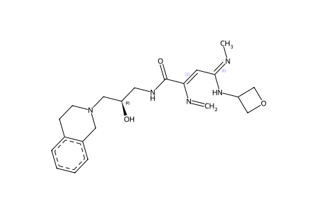 C=N/C(=C\C(=N/C)NC1COC1)C(=O)NC[C@@H](O)CN1CCc2ccccc2C1